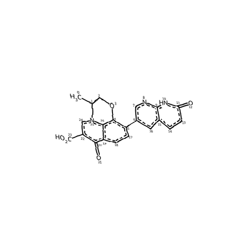 CC1COc2c(-c3cnc4[nH]c(=O)ccc4c3)ccc3c(=O)c(C(=O)O)cn1c23